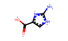 Nc1nc(C(=O)O)c[nH]1